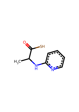 CC(Nc1ccccn1)C(=O)S